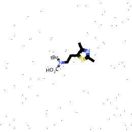 Cc1nc(C)c(CCN(C(=O)O)C(C)(C)C)s1